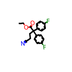 CCOC(=O)C(CCC#N)(c1ccc(F)cc1)c1ccc(F)cc1